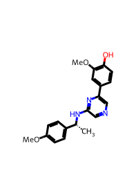 COc1ccc([C@@H](C)Nc2cncc(-c3ccc(O)c(OC)c3)n2)cc1